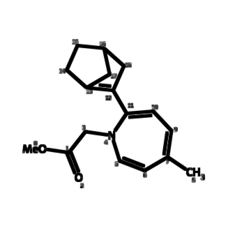 COC(=O)CN1C=CC(C)=CC=C1C1=C2CCC(C2)C1